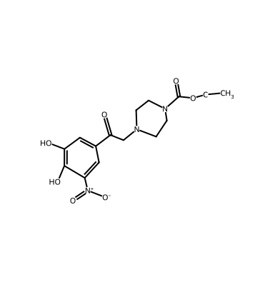 CCOC(=O)N1CCN(CC(=O)c2cc(O)c(O)c([N+](=O)[O-])c2)CC1